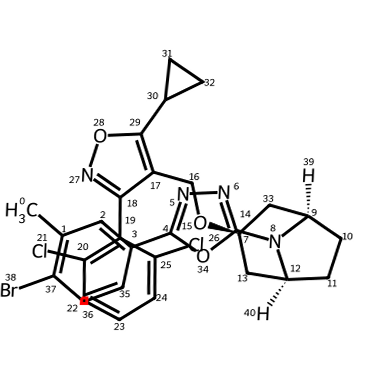 Cc1cc(-c2nnc(N3[C@@H]4CC[C@H]3C[C@@H](OCc3c(-c5c(Cl)cccc5Cl)noc3C3CC3)C4)o2)ccc1Br